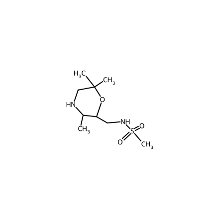 CC1NCC(C)(C)OC1CNS(C)(=O)=O